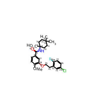 COc1ccc(C(=O)NC2(C(=O)O)CCC(C)(C)CC2)cc1OCCc1cc(Cl)ccc1F